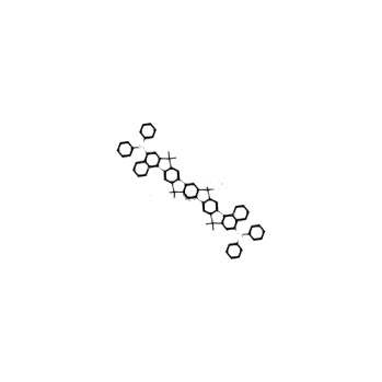 CCCCCCCCC1(CCCCCCCC)c2cc3c(cc2-c2cc4c(cc21)-c1cc2c(cc1C4(CCCCCCCC)CCCCCCCC)-c1c(cc(N(c4ccccc4)c4ccccc4)c4ccccc14)C2(C)C)C(C)(C)c1cc(N(c2ccccc2)c2ccccc2)c2ccccc2c1-3